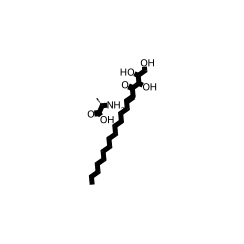 CCCCCCCCCCCCCC=CC(=O)C(O)C(O)CO.C[C@H](N)C(=O)O